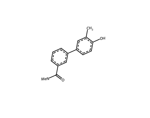 CNC(=O)c1cccc(-c2ccc(O)c(C)c2)c1